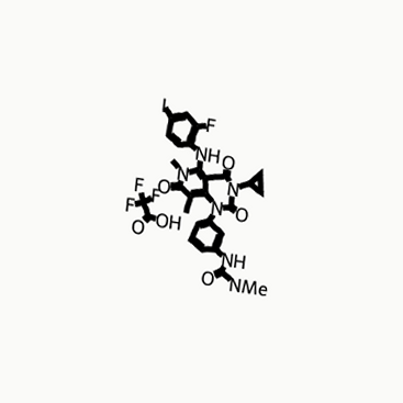 CNC(=O)Nc1cccc(-n2c(=O)n(C3CC3)c(=O)c3c(Nc4ccc(I)cc4F)n(C)c(=O)c(C)c32)c1.O=C(O)C(F)(F)F